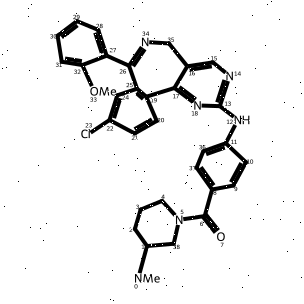 CNC1CCCN(C(=O)c2ccc(Nc3ncc4c(n3)-c3ccc(Cl)cc3C(c3ccccc3OC)=NC4)cc2)C1